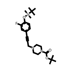 CC(C)(C)OC(=O)N1CCN(CC#Cc2ccc(O[Si](C)(C)C(C)(C)C)c(F)c2)CC1